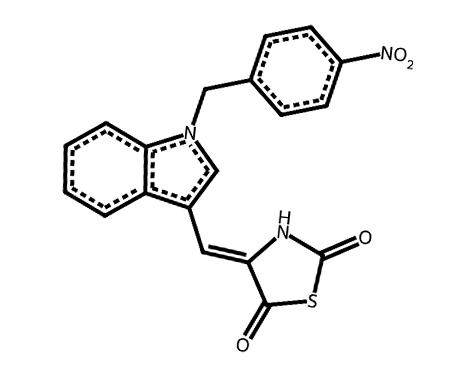 O=C1NC(=Cc2cn(Cc3ccc([N+](=O)[O-])cc3)c3ccccc23)C(=O)S1